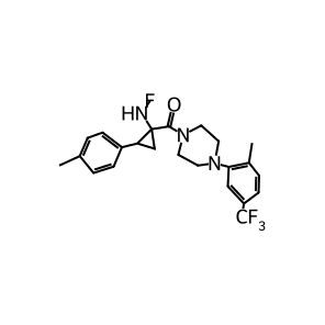 Cc1ccc(C2CC2(NF)C(=O)N2CCN(c3cc(C(F)(F)F)ccc3C)CC2)cc1